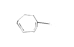 O=[N+]([O-])C1=C[C]=CC[C]1